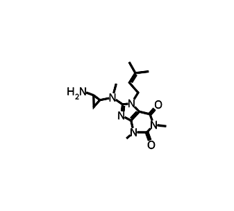 CC(C)=CCn1c(N(C)C2CC2N)nc2c1c(=O)n(C)c(=O)n2C